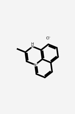 CC1=C[n+]2cccc3cccc(c32)N1.[Cl-]